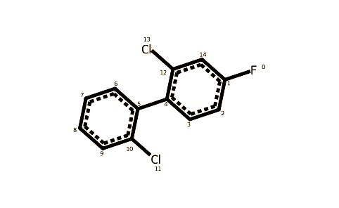 Fc1ccc(-c2[c]cccc2Cl)c(Cl)c1